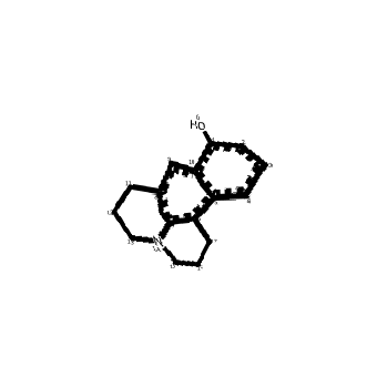 Oc1cccc2c3c4c(cc12)CCCN4CCC3